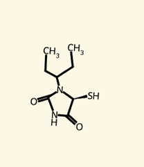 CCC(CC)N1C(=O)NC(=O)[C@@H]1S